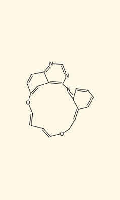 C1=c2/cccc/c2=N\c2ncnc3ccc(cc23)O/C=C/C=C/OC/1